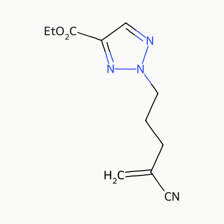 C=C(C#N)CCCn1ncc(C(=O)OCC)n1